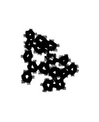 c1ccc(-c2cc(-c3ccccc3)cc(-c3cccc(-c4cc(-c5cccc(-n6c7ccccc7c7cc(-c8cccc9c%10ccccc%10n(-c%10ccccc%10)c89)ccc76)c5)nc(-n5c6ccccc6c6cc(-c7cccc8c9ccccc9n(-c9ccccc9)c78)ccc65)n4)c3)c2)cc1